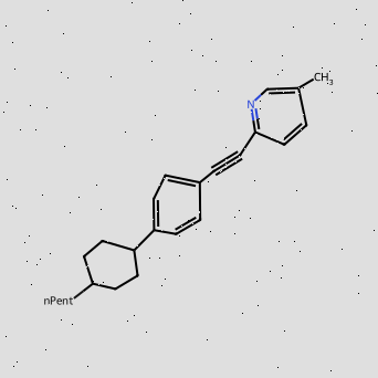 CCCCCC1CCC(c2ccc(C#Cc3ccc(C)cn3)cc2)CC1